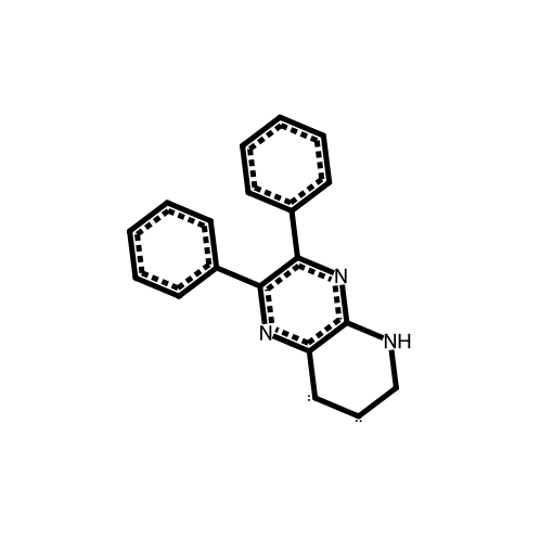 [C]1[C]c2nc(-c3ccccc3)c(-c3ccccc3)nc2NC1